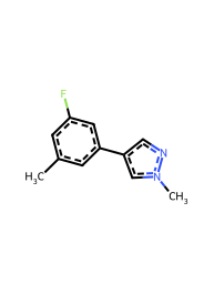 Cc1cc(F)cc(-c2cnn(C)c2)c1